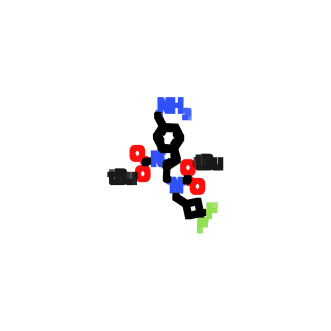 CC(C)(C)OC(=O)N(Cc1cc2ccc(CN)cc2n1C(=O)OC(C)(C)C)CC1CC(F)(F)C1